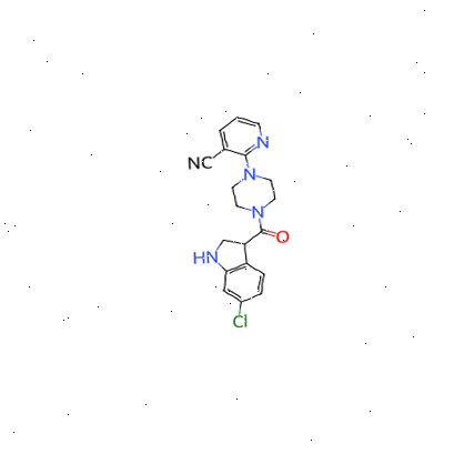 N#Cc1cccnc1N1CCN(C(=O)C2CNc3cc(Cl)ccc32)CC1